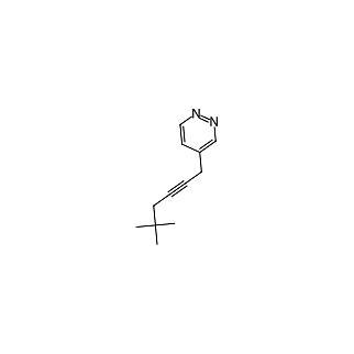 CC(C)(C)CC#CCc1ccnnc1